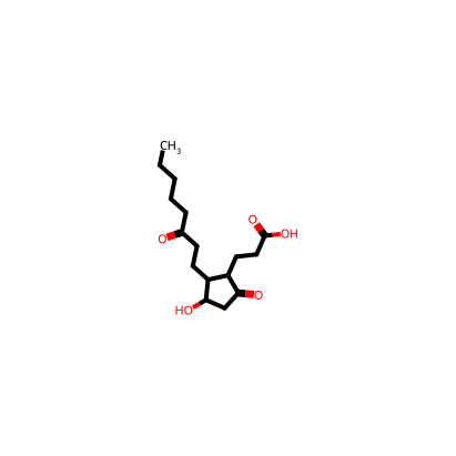 CCCCCC(=O)CCC1C(O)CC(=O)C1CCC(=O)O